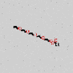 C=CCOCCCOCCCOCCCOCCCOOC(=O)CC